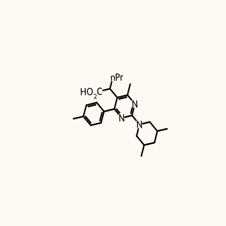 CCCC(C(=O)O)c1c(C)nc(N2CC(C)CC(C)C2)nc1-c1ccc(C)cc1